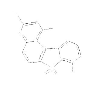 O=C(O)c1cc(O)c2c3c(ccc2n1)S(=O)(=O)c1c(Cl)cccc1-3